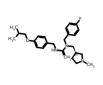 C=C(NCc1ccc(OCC(C)C)cc1)N(Cc1ccc(F)cc1)C[C@@H]1CCN(C)C1